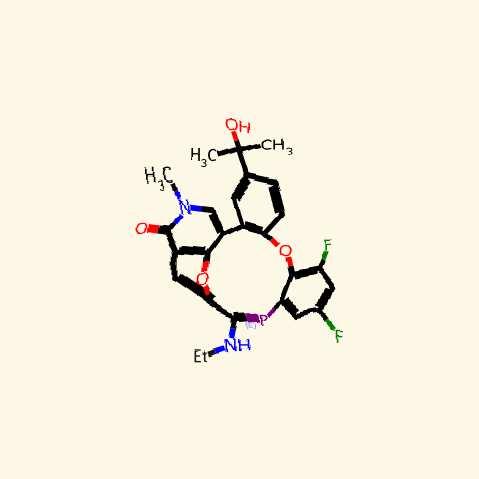 CCN/C1=P/c2cc(F)cc(F)c2Oc2ccc(C(C)(C)O)cc2-c2cn(C)c(=O)c3cc1oc23